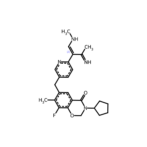 CN/C=C(\C(C)=N)c1ccc(Cc2cc3c(c(F)c2C)OCN(C2CCCC2)C3=O)cn1